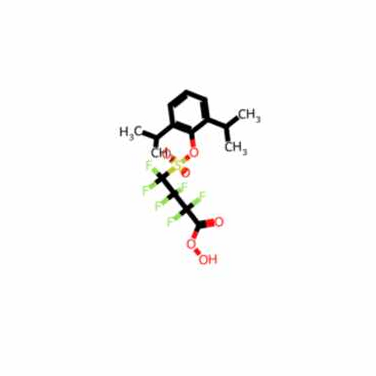 CC(C)c1cccc(C(C)C)c1OS(=O)(=O)C(F)(F)C(F)(F)C(F)(F)C(=O)OO